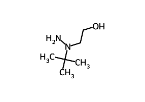 CC(C)(C)N(N)CCO